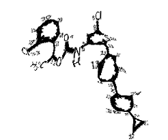 CC(OC(=O)Nc1cc(Cl)sc1-c1ccc(-c2ccc(C3CC3)cc2)cc1)c1ccccc1Cl